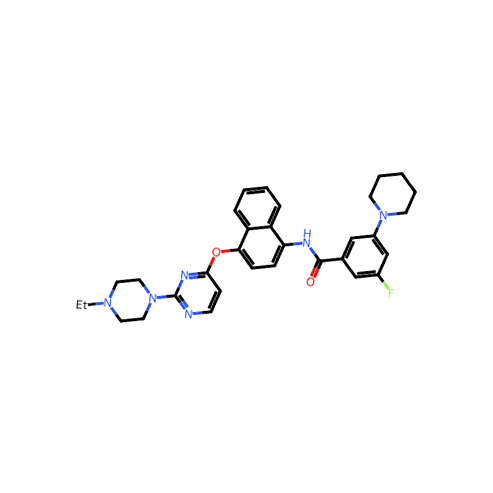 CCN1CCN(c2nccc(Oc3ccc(NC(=O)c4cc(F)cc(N5CCCCC5)c4)c4ccccc34)n2)CC1